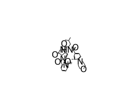 CC(C)CC(NC(=O)c1ccc(N2CCOCC2)cc1)C(=O)N1CC(=O)C2C1C=CN2C(=O)c1cccc[n+]1[O-]